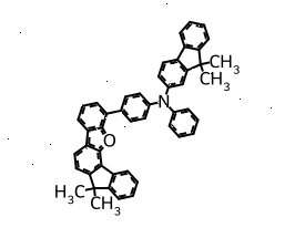 CC1(C)c2ccccc2-c2ccc(N(c3ccccc3)c3ccc(-c4cccc5c4oc4c6c(ccc45)C(C)(C)c4ccccc4-6)cc3)cc21